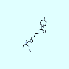 CCC/C(CC)=N\OCCCCCC(=O)N1CCC(C)CC1